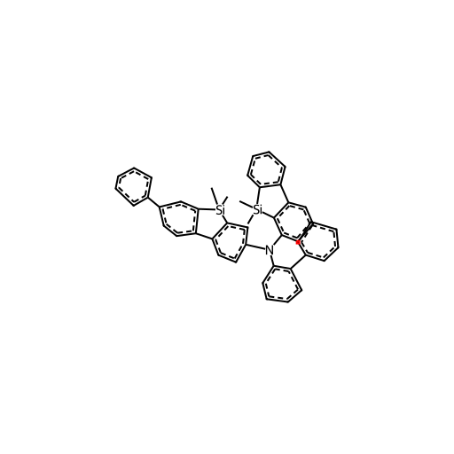 C[Si]1(C)c2cc(-c3ccccc3)ccc2-c2ccc(N(c3ccccc3-c3ccccc3)c3cccc4c3[Si](C)(C)c3ccccc3-4)cc21